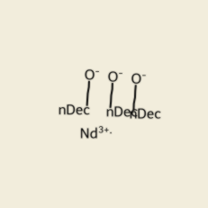 CCCCCCCCCC[O-].CCCCCCCCCC[O-].CCCCCCCCCC[O-].[Nd+3]